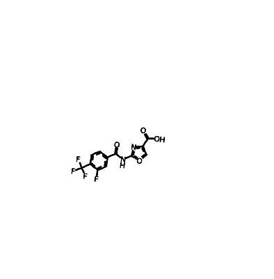 O=C(Nc1nc(C(=O)O)co1)c1ccc(C(F)(F)F)c(F)c1